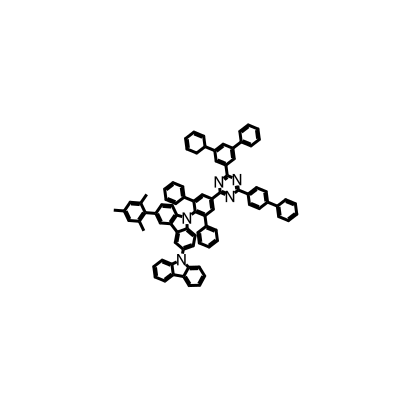 Cc1cc(C)c(-c2ccc3c(c2)c2cc(-n4c5ccccc5c5ccccc54)ccc2n3-c2c(-c3ccccc3)cc(-c3nc(-c4ccc(-c5ccccc5)cc4)nc(-c4cc(-c5ccccc5)cc(C5C=CC=CC5)c4)n3)cc2-c2ccccc2)c(C)c1